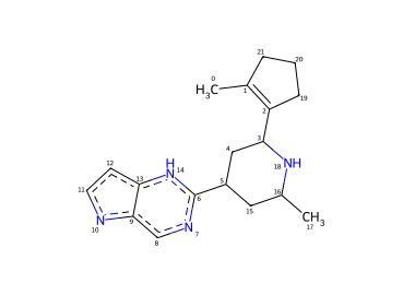 CC1=C(C2CC(c3ncc4nccc-4[nH]3)CC(C)N2)CCC1